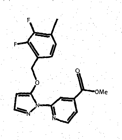 COC(=O)c1ccnc(-n2nccc2OCc2ccc(C)c(F)c2F)c1